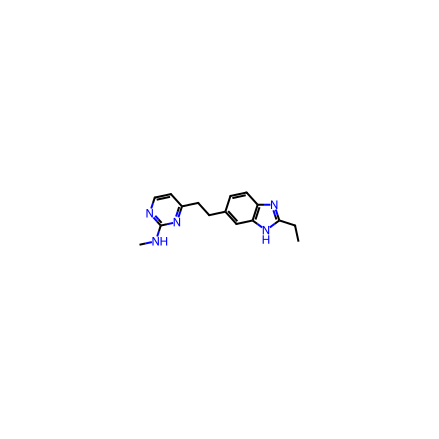 CCc1nc2ccc(CCc3ccnc(NC)n3)cc2[nH]1